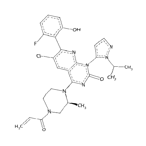 C=CC(=O)N1CCN(c2nc(=O)n(-c3ccnn3C(C)C)c3nc(-c4c(O)cccc4F)c(Cl)cc23)[C@@H](C)C1